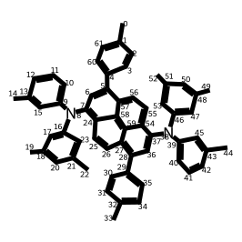 Cc1ccc(-c2cc(N(c3cccc(C)c3)c3cc(C)cc(C)c3)c3ccc4c(-c5ccc(C)cc5)cc(N(c5cccc(C)c5)c5cc(C)cc(C)c5)c5ccc2c3c45)cc1